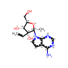 C=C[C@@]1(O)[C@H](O)[C@@H](CO)O[C@@]1(C)n1ccc2c(N)ncnc21